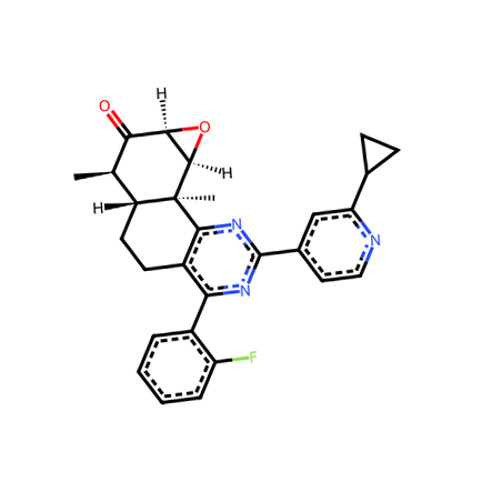 C[C@H]1C(=O)[C@H]2O[C@H]2[C@@]2(C)c3nc(-c4ccnc(C5CC5)c4)nc(-c4ccccc4F)c3CC[C@H]12